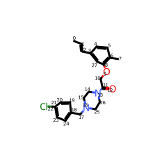 CC=Cc1ccc(C)c(OCC(=O)N2CCN(Cc3ccc(Cl)cc3)CC2)c1